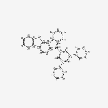 c1ccc(-c2nc(-c3ccccc3)nc(-n3c4ccccc4c4c5c(ccc43)-c3ccccc3C5)n2)cc1